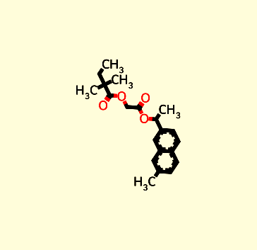 CCC(C)(C)C(=O)OCC(=O)OC(C)c1ccc2ccc(C)cc2c1